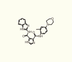 Cc1cc(N2CCOCC2)ccc1NC(=O)c1nc[nH]c1C(=O)Nc1nc2ccccc2[nH]1